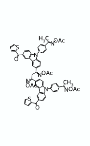 CC(=O)O/N=C(/C/C(=N/OC(C)=O)c1ccc2c(c1)c1cc(C(=O)c3cccs3)ccc1n2-c1ccc(/C(C)=N/OC(C)=O)cc1)c1ccc2c(c1)c1cc(C(=O)c3cccs3)ccc1n2-c1ccc(/C(C)=N/OC(C)=O)cc1